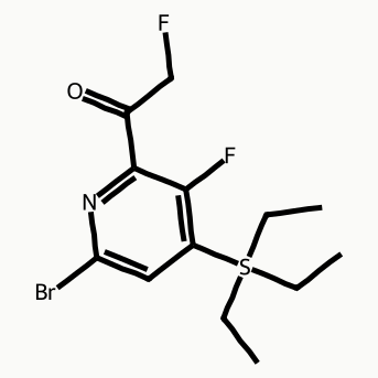 CCS(CC)(CC)c1cc(Br)nc(C(=O)CF)c1F